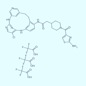 Nc1nc(C(=O)N2CCC(CC(=O)Nc3ccc4cc3CCc3cncc(c3)Nc3ncc(Cl)c(n3)N4)CC2)cs1.O=C(O)C(F)(F)F.O=C(O)C(F)(F)F.O=C(O)C(F)(F)F